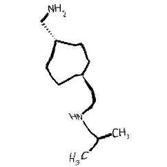 CC(C)NC[C@H]1CC[C@H](CN)CC1